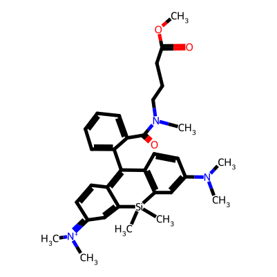 COC(=O)CCCN(C)C(=O)c1ccccc1C1=C2C=CC(=[N+](C)C)C=C2[Si](C)(C)c2cc(N(C)C)ccc21